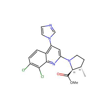 COC(=O)[C@@H]1[C@@H](C)CCN1c1cc(-n2ccnc2)c2ccc(Cl)c(Cl)c2n1